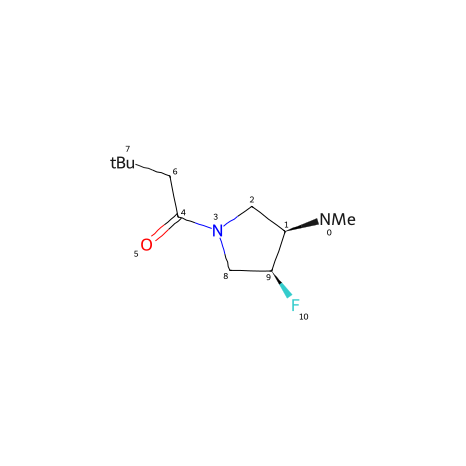 CN[C@@H]1CN(C(=O)CC(C)(C)C)C[C@@H]1F